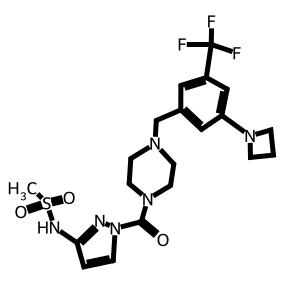 CS(=O)(=O)Nc1ccn(C(=O)N2CCN(Cc3cc(N4CCC4)cc(C(F)(F)F)c3)CC2)n1